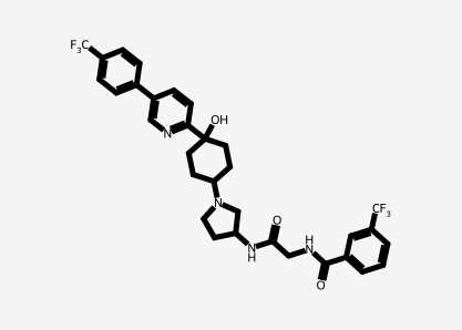 O=C(CNC(=O)c1cccc(C(F)(F)F)c1)NC1CCN(C2CCC(O)(c3ccc(-c4ccc(C(F)(F)F)cc4)cn3)CC2)C1